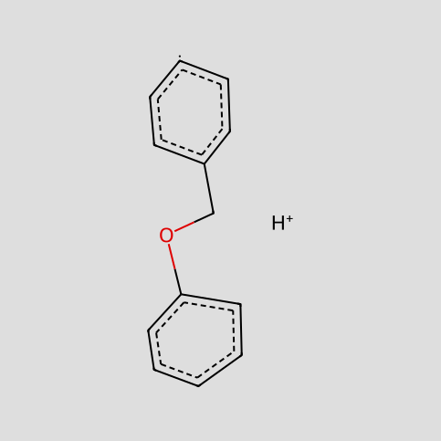 [H+].[c]1ccc(COc2ccccc2)cc1